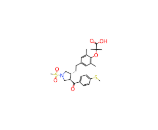 CSc1ccc(C(=O)[C@H]2CN(S(C)(=O)=O)C[C@@H]2CCc2cc(C)c(OC(C)(C)C(=O)O)c(C)c2)cc1